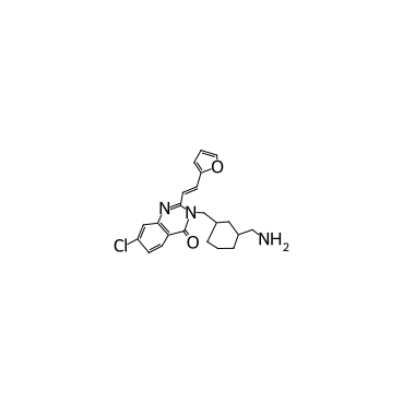 NCC1CCCC(Cn2c(/C=C/c3ccco3)nc3cc(Cl)ccc3c2=O)C1